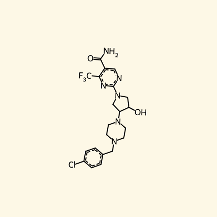 NC(=O)c1cnc(N2CC(O)C(N3CCN(Cc4ccc(Cl)cc4)CC3)C2)nc1C(F)(F)F